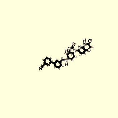 N#Cc1cccc(-c2cccc(CN[C@H]3CCC4[C@H](C3)OC(=O)N4c3ccc4c(n3)NC(=O)CO4)c2)n1